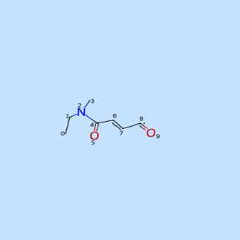 CCN(C)C(=O)C=C[C]=O